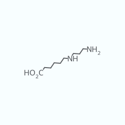 NCCCNCCCCCC(=O)O